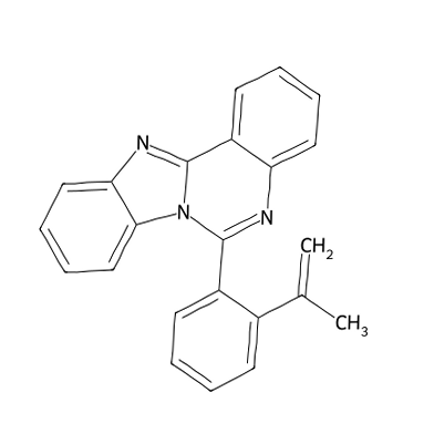 C=C(C)c1ccccc1-c1nc2ccccc2c2nc3ccccc3n12